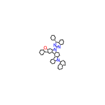 c1ccc(-c2nc(-n3c4cc5oc6ccccc6c5cc4c4c5c6ccccc6n(-c6cccc7ccccc67)c5ccc43)nc3ccccc23)cc1